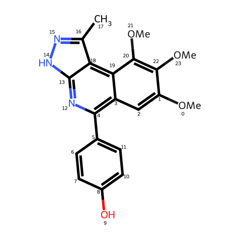 COc1cc2c(-c3ccc(O)cc3)nc3[nH]nc(C)c3c2c(OC)c1OC